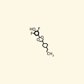 CCCC1CCC(C2COC(c3cc(F)c(O)c(F)c3)OC2)CC1